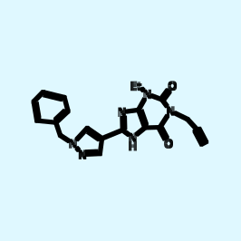 C#CCn1c(=O)c2[nH]c(-c3cnn(Cc4ccccc4)c3)nc2n(CC)c1=O